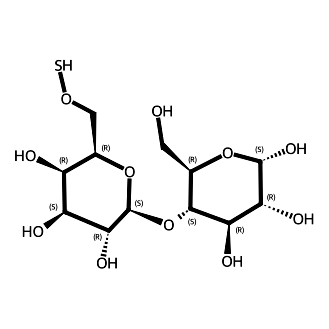 OC[C@H]1O[C@H](O)[C@H](O)[C@@H](O)[C@@H]1O[C@@H]1O[C@H](COS)[C@H](O)[C@H](O)[C@H]1O